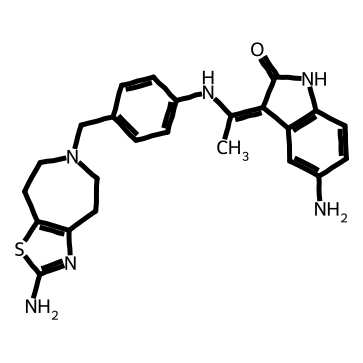 C/C(Nc1ccc(CN2CCc3nc(N)sc3CC2)cc1)=C1/C(=O)Nc2ccc(N)cc21